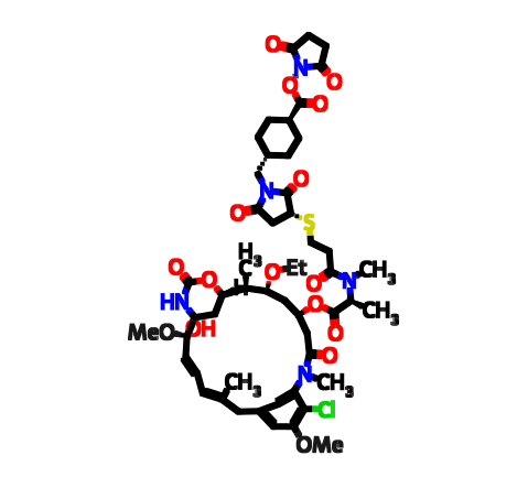 CCO[C@@H]1C[C@@H](OC(=O)[C@H](C)N(C)C(=O)CCS[C@@H]2CC(=O)N(C[C@H]3CC[C@H](C(=O)ON4C(=O)CCC4=O)CC3)C2=O)CC(=O)N(C)c2cc(cc(OC)c2Cl)C/C(C)=C/C=C/[C@@H](OC)[C@@]2(O)C[C@H](OC(=O)N2)[C@H]1C